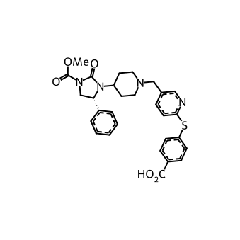 COC(=O)N1C[C@@H](c2ccccc2)N(C2CCN(Cc3ccc(Sc4ccc(C(=O)O)cc4)nc3)CC2)C1=O